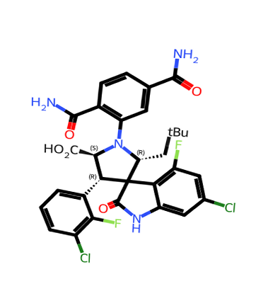 CC(C)(C)C[C@H]1N(c2cc(C(N)=O)ccc2C(N)=O)[C@H](C(=O)O)[C@@H](c2cccc(Cl)c2F)C12C(=O)Nc1cc(Cl)cc(F)c12